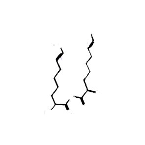 CCC/C=C/CCCCC(CC)C(=O)OC(=O)C(CC)CCCC/C=C/CCC